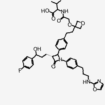 CC(C)C(NC(=O)COC1(CCc2ccc(C3[C@@H](CCC(O)c4ccc(F)cc4)C(=O)N3c3ccc(CCCNc4ncco4)cc3)cc2)COC1)C(=O)O